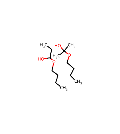 CCCCOC(C)(C)O.CCCCOC(O)CC